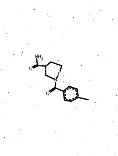 Cc1ccc(C(=O)N2CCCC(C(N)=O)C2)cc1